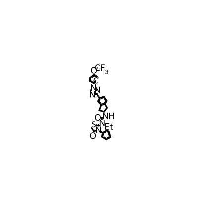 CCc1ccccc1N1C(=O)CSC1=NC(=O)NC1Cc2ccc(-c3ncn(-c4ccc(OC(F)(F)F)cc4)n3)cc2C1